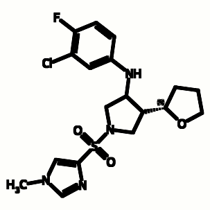 Cn1cnc(S(=O)(=O)N2CC(Nc3ccc(F)c(Cl)c3)C([C@@H]3CCCO3)C2)c1